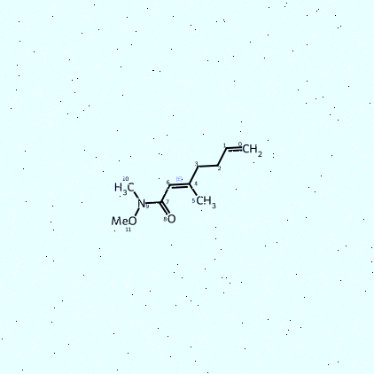 C=CCC/C(C)=C/C(=O)N(C)OC